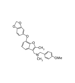 COc1ccc(CN(C)Cc2c(C)oc3c(Oc4ccc5c(c4)OCO5)cccc23)cc1